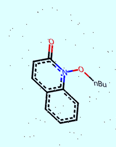 CCCCOn1c(=O)ccc2ccccc21